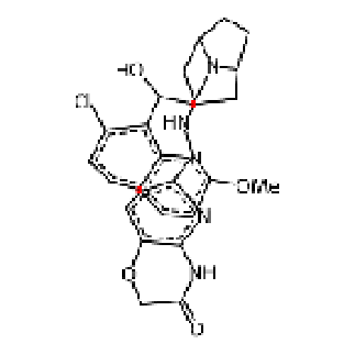 COc1ccc2ccc(Cl)c(C(O)CN3C4CCC3CC(NCc3ccc5c(n3)NC(=O)CO5)C4)c2n1